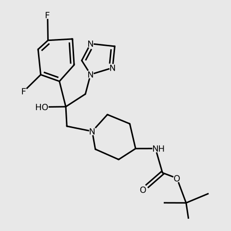 CC(C)(C)OC(=O)NC1CCN(CC(O)(Cn2cncn2)c2ccc(F)cc2F)CC1